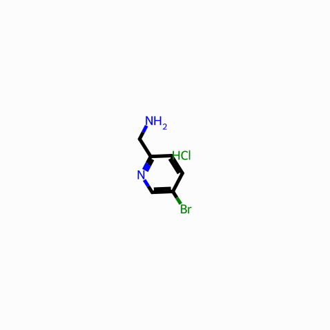 Cl.NCc1ccc(Br)cn1